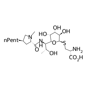 CCCCC[C@@H]1C[C@@H](C(=O)N[C@@H]([C@H]2O[C@H](SC[C@H](N)C(=O)O)[C@H](O)[C@@H](O)[C@H]2O)[C@@H](C)O)N(C)C1